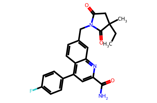 CCC1(C)CC(=O)N(Cc2ccc3c(-c4ccc(F)cc4)cc(C(N)=O)nc3c2)C1=O